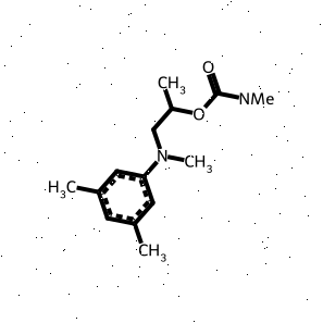 CNC(=O)OC(C)CN(C)c1cc(C)cc(C)c1